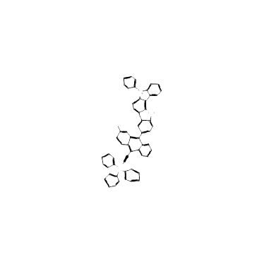 Cc1ccc2c(C#C[Si](c3ccccc3)(c3ccccc3)c3ccccc3)c3ccccc3c(-c3ccc4oc5c(ccc6c5c5ccccc5n6-c5ccccc5)c4c3)c2c1